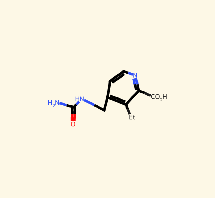 CCc1c(CNC(N)=O)ccnc1C(=O)O